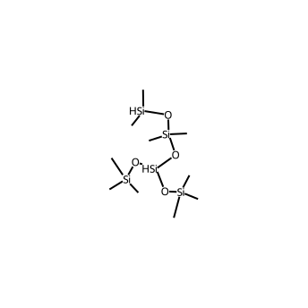 C[SiH](C)O[Si](C)(C)O[SiH](O[Si](C)(C)C)O[Si](C)(C)C